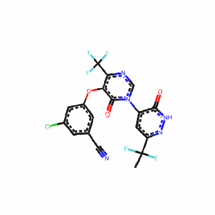 CC(F)(F)c1cc(-n2cnc(C(F)(F)F)c(Oc3cc(Cl)cc(C#N)c3)c2=O)c(=O)[nH]n1